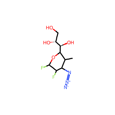 CC1C(N=[N+]=[N-])C(F)C(F)OC1[C@H](O)[C@H](O)CO